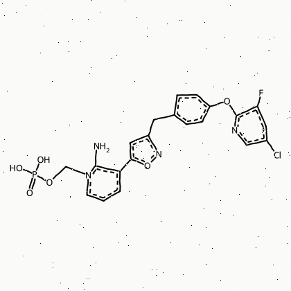 Nc1c(-c2cc(Cc3ccc(Oc4ncc(Cl)cc4F)cc3)no2)ccc[n+]1COP(=O)(O)O